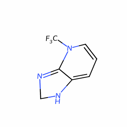 FC(F)(F)N1C=CC=C2NCN=C21